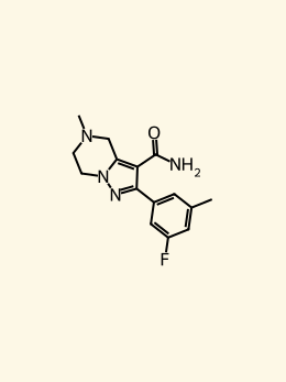 Cc1cc(F)cc(-c2nn3c(c2C(N)=O)CN(C)CC3)c1